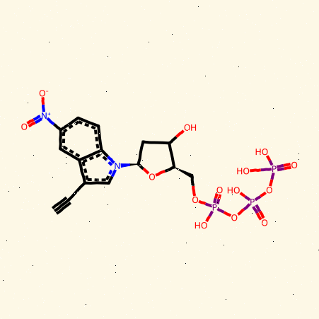 C#Cc1cn([C@H]2CC(O)[C@@H](COP(=O)(O)OP(=O)(O)OP(=O)(O)O)O2)c2ccc([N+](=O)[O-])cc12